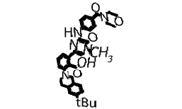 Cn1cc(-c2cccc(N3CCc4cc(C(C)(C)C)ccc4C3=O)c2CO)nc(Nc2ccc(C(=O)N3CCOCC3)cc2)c1=O